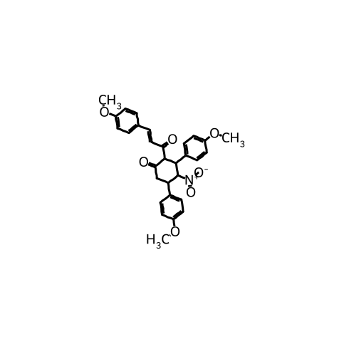 COc1ccc(C=CC(=O)C2C(=O)CC(c3ccc(OC)cc3)C([N+](=O)[O-])C2c2ccc(OC)cc2)cc1